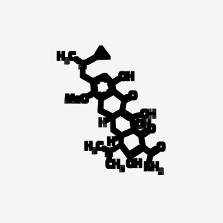 COc1c(CN(C)C2CC2)cc(O)c2c1C[C@H]1C[C@H]3[C@H](N(C)C)C(O)=C(C(N)=O)C(=O)[C@@]3(O)C(O)=C1C2=O